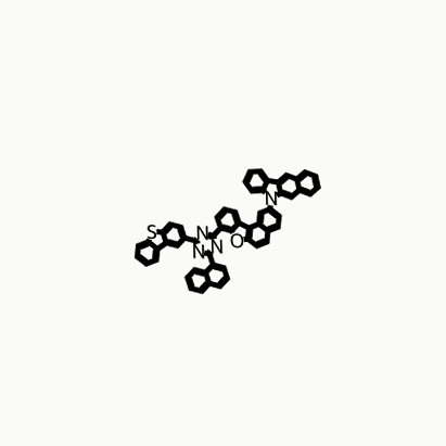 c1ccc2cc3c(cc2c1)c1ccccc1n3-c1ccc2ccc3oc4c(-c5nc(-c6ccc7sc8ccccc8c7c6)nc(-c6cccc7ccccc67)n5)cccc4c3c2c1